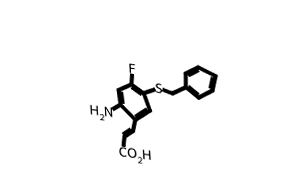 Nc1cc(F)c(SCc2ccccc2)cc1/C=C/C(=O)O